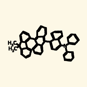 CC1(C)c2ccccc2-c2c(-c3c4ccccc4c(-c4ccc(N(c5ccccc5)c5ccccc5)c5ccccc45)c4ccccc34)cccc21